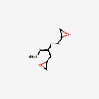 CCCCCCCCC(CCC1CO1)CC1CO1